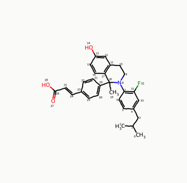 CC(C)Cc1ccc(N2CCc3cc(O)ccc3C2(C)c2ccc(C=CC(=O)O)cc2)c(F)c1